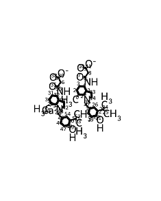 Cc1ccc(NC(=O)CC(=O)[O-])c2ccn(Cc3ccc(O)c(C(C)C)c3)c12.Cc1ccc(NC(=O)CC(=O)[O-])c2ccn(Cc3ccc(O)c(C(C)C)c3)c12.[Ca+2]